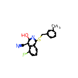 Cc1cccc(CSc2nc(O)c(C#N)c3c(F)cccc23)c1